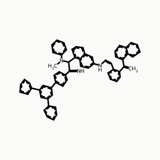 C=C(c1ccccc1/C=C\Nc1ccc2c(C(C(=N)c3ccc(-c4cc(-c5ccccc5)cc(-c5ccccc5)c4)cc3)N(C)c3ccccc3)cccc2c1)c1cccc2ccccc12